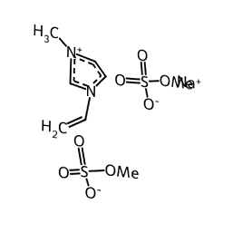 C=Cn1cc[n+](C)c1.COS(=O)(=O)[O-].COS(=O)(=O)[O-].[Na+]